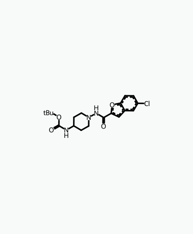 CC(C)(C)OC(=O)NC1CCN(NC(=O)c2cc3cc(Cl)ccc3o2)CC1